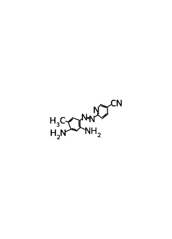 Cc1cc(N=Nc2ccc(C#N)cn2)c(N)cc1N